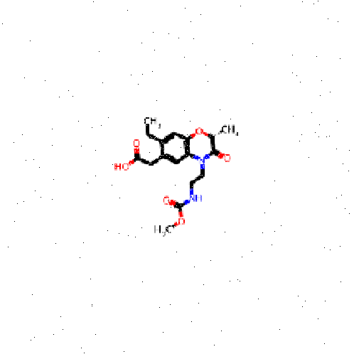 CCc1cc2c(cc1CC(=O)O)N(CCNC(=O)OC)C(=O)[C@@H](C)O2